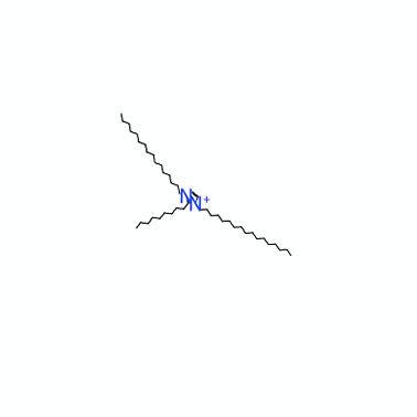 CCCCCCCCCCCCCCCCC[n+]1ccn(CCCCCCCCCCCCCCCC)c1CCCCCCCCC